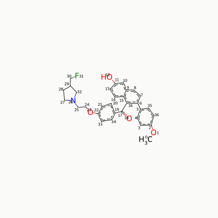 COc1ccc(-c2ccc3cc(O)ccc3c2C(=O)c2ccc(OCCN3CCC(CF)C3)cc2)cc1